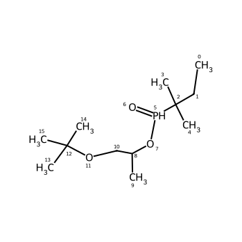 CCC(C)(C)[PH](=O)OC(C)COC(C)(C)C